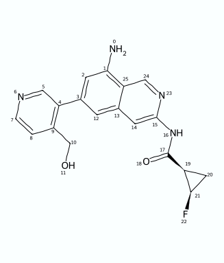 Nc1cc(-c2cnccc2CO)cc2cc(NC(=O)[C@H]3C[C@H]3F)ncc12